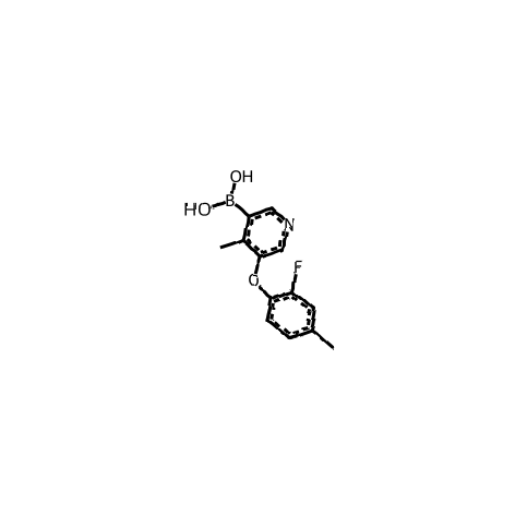 Cc1ccc(Oc2cncc(B(O)O)c2C)c(F)c1